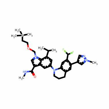 CNC(=O)c1cn(COCC[Si](C)(C)C)c2c(C(C)C)cc(N3CCCc4cc(-c5cnn(C)c5)c(C(F)F)cc43)cc12